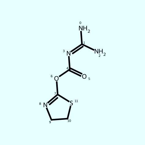 NC(N)=NC(=O)OC1=NCCS1